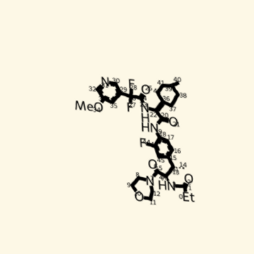 CCC(=O)N[C@@H](C(=O)N1CCOCC1)[C@@H](C)c1ccc(NC(=O)C(NC(=O)C(F)(F)c2cncc(OC)c2)=C2CCC(C)CC2)c(F)c1